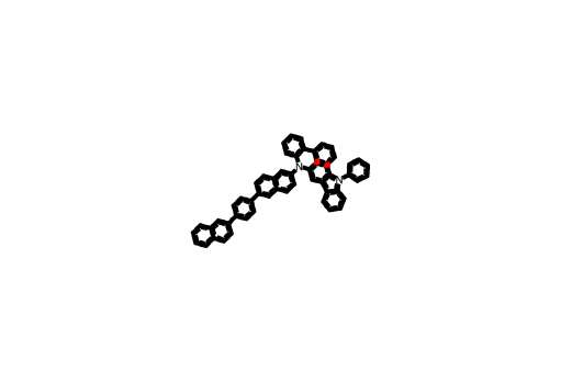 c1ccc(-c2ccccc2N(c2ccc3cc(-c4ccc(-c5ccc6ccccc6c5)cc4)ccc3c2)c2ccc3c(c2)c2ccccc2n3-c2ccccc2)cc1